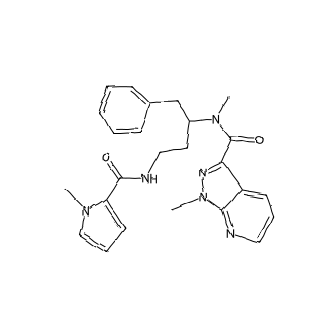 CN(C(=O)c1nn(C)c2ncccc12)C(CCNC(=O)c1cccn1C)Cc1ccccc1